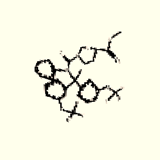 COC(=O)C1CCN(C(=O)N(c2ccccc2)C(C)(c2cccc(OC(F)(F)F)c2)c2cccc(OC(F)(F)F)c2)CC1